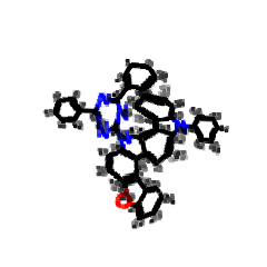 c1ccc(-c2nc(-c3ccccc3)nc(-n3c4ccc5oc6ccccc6c5c4c4ccc5c(c6ccccc6n5-c5ccccc5)c43)n2)cc1